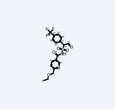 CCOCc1ccc(C(=O)NS(=O)(=O)C(C=O)c2ccc(C(F)(F)F)cc2)cn1